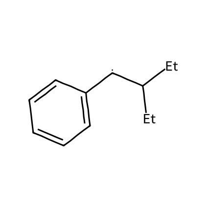 CCC([CH]c1ccccc1)CC